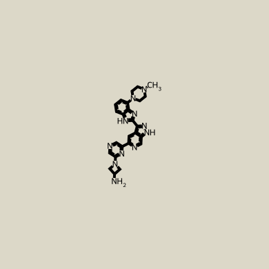 CN1CCN(c2cccc3[nH]c(-c4n[nH]c5cnc(-c6cncc(N7CC(N)C7)n6)cc45)nc23)CC1